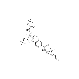 CC(C)(C)OC(=O)NO[C@](C)(C(=O)OC(C)(C)C)[C@H]1CCc2cc(C(=N)N[C@@H]3C[C@H](CN)C3(C)C)ccc2O1